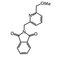 COCc1cccc(CN2C(=O)c3ccccc3C2=O)n1